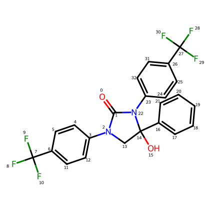 O=C1N(c2ccc(C(F)(F)F)cc2)CC(O)(c2ccccc2)N1c1ccc(C(F)(F)F)cc1